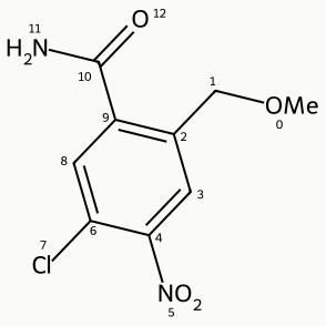 COCc1cc([N+](=O)[O-])c(Cl)cc1C(N)=O